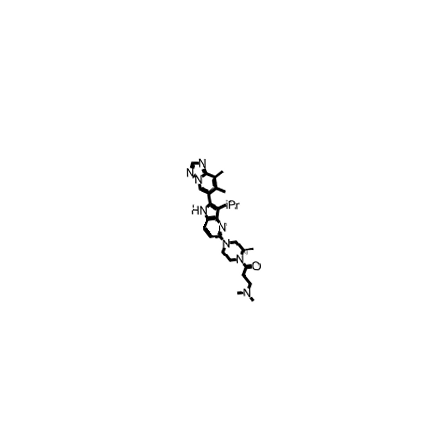 Cc1c(-c2[nH]c3ccc(N4CCN(C(=O)CCN(C)C)[C@H](C)C4)nc3c2C(C)C)cn2ncnc2c1C